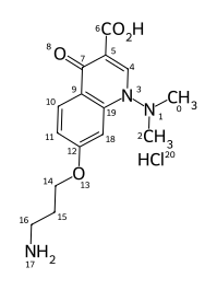 CN(C)n1cc(C(=O)O)c(=O)c2ccc(OCCCN)cc21.Cl